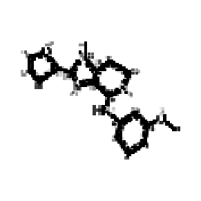 COc1cccc(Nc2nccc3[nH]c(-c4ccco4)nc23)c1